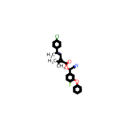 C/C(=C\C1C(C(=O)OC(C#N)c2ccc(F)c(Oc3ccccc3)c2)C1(C)C)c1ccc(Cl)cc1